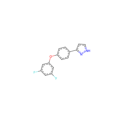 Fc1cc(F)cc(Oc2ccc(-c3cc[nH]n3)cc2)c1